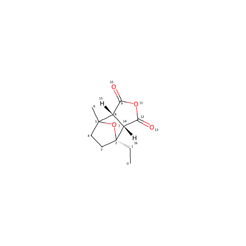 CC[C@]12CCC(C)(O1)[C@@H]1C(=O)OC(=O)[C@@H]12